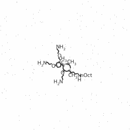 CCCCCCCCNCCC[C@@H](C)[C@H]1CC[C@H](C)C[C@@H]([C@@]2(C)CC[C@@H](OCCCN)C[C@H]2CCOCCCN)C[C@H](OCCCN)C1